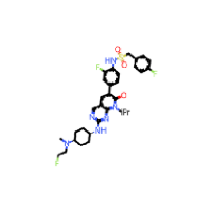 CC(C)n1c(=O)c(-c2ccc(NS(=O)(=O)Cc3ccc(F)cc3)c(F)c2)cc2cnc(N[C@H]3CC[C@H](N(C)CCF)CC3)nc21